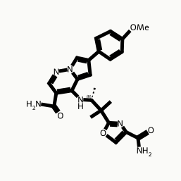 COc1ccc(-c2cc3c(N[C@H](C)C(C)(C)c4nc(C(N)=O)co4)c(C(N)=O)cnn3c2)cc1